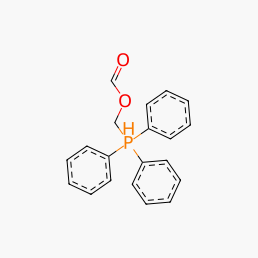 O=COC[PH](c1ccccc1)(c1ccccc1)c1ccccc1